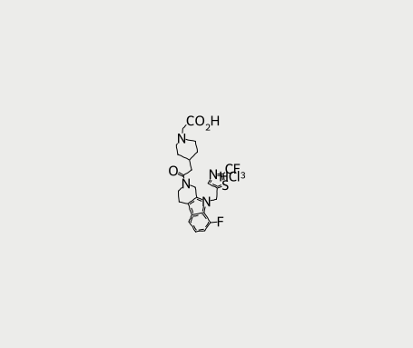 Cl.O=C(O)CN1CCC(CC(=O)N2CCc3c(n(Cc4cnc(C(F)(F)F)s4)c4c(F)cccc34)C2)CC1